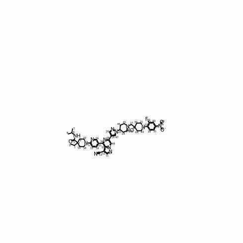 CCC1(C(=O)NC(C)C)CCN(c2ccc(-c3nc(-c4cnn(C5CCN(CC6(O)CCN(c7ccc([N+](=O)[O-])cc7F)CC6)CC5)c4)cn4ncc(C#N)c34)cn2)CC1